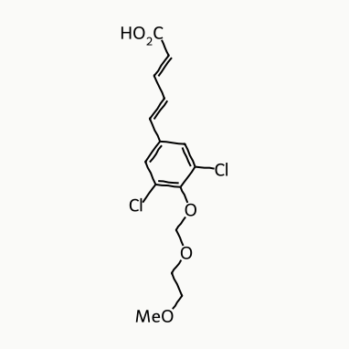 COCCOCOc1c(Cl)cc(C=CC=CC(=O)O)cc1Cl